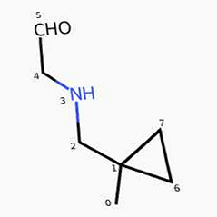 CC1(CNCC=O)CC1